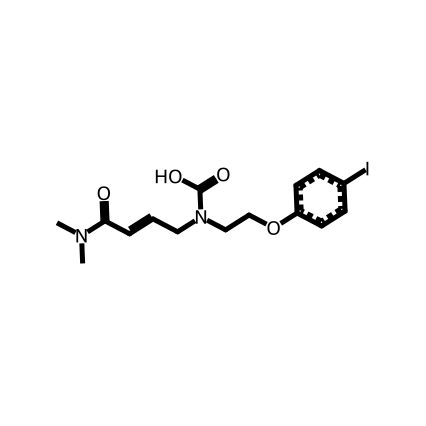 CN(C)C(=O)C=CCN(CCOc1ccc(I)cc1)C(=O)O